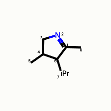 CC1=NCC(C)C1C(C)C